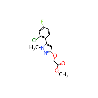 COC(=O)COc1cc(-c2ccc(F)cc2Cl)n(C)n1